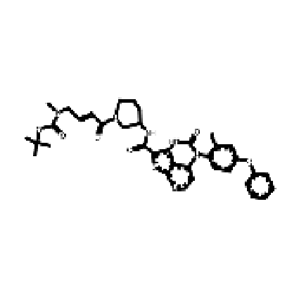 Cc1cc(Oc2ccccc2)ccc1N1C(=O)Nc2c(C(=O)NC3CCCN(C(=O)C=CCN(C)C(=O)OC(C)(C)C)C3)sc3nccc1c23